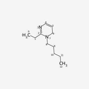 [CH2]CC1=NC=CCN1CCCCC